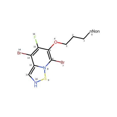 CCCCCCCCCCCCOC1=C(Br)N2SNC=C2C(Br)=C1F